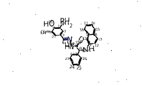 Bc1cc(/C=N/NC(=O)C(Nc2ccc3ccccc3c2)c2ccccc2)cc(Br)c1O